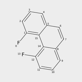 Fc1c[c]cc2ccc3c[c]cc(F)c3c12